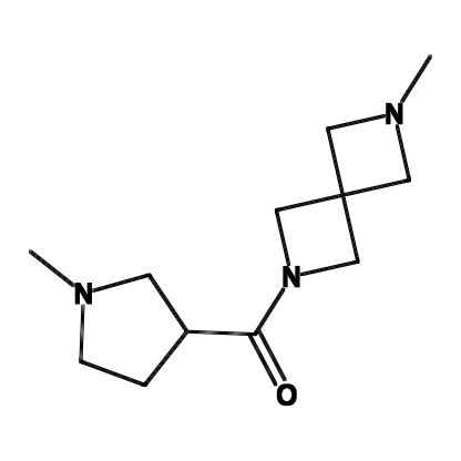 CN1CCC(C(=O)N2CC3(CN(C)C3)C2)C1